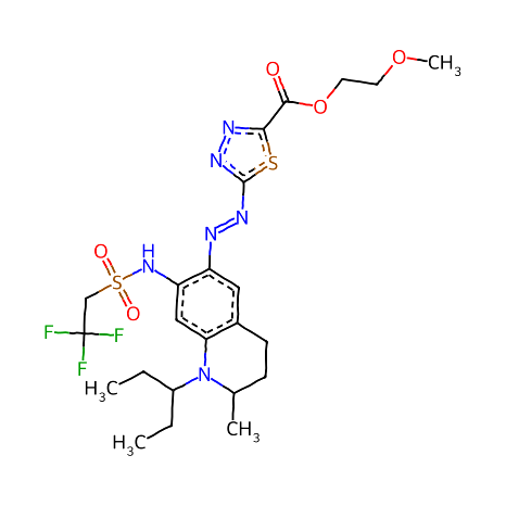 CCC(CC)N1c2cc(NS(=O)(=O)CC(F)(F)F)c(N=Nc3nnc(C(=O)OCCOC)s3)cc2CCC1C